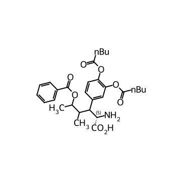 CCCCC(=O)Oc1ccc(C(C(C)C(C)OC(=O)c2ccccc2)[C@H](N)C(=O)O)cc1OC(=O)CCCC